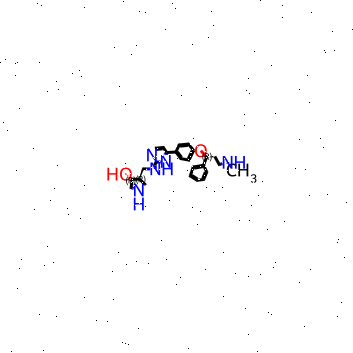 CNCC[C@@H](Oc1ccc(-c2ccnc(NC[C@H]3CNC[C@@H]3O)n2)cc1)c1ccccc1